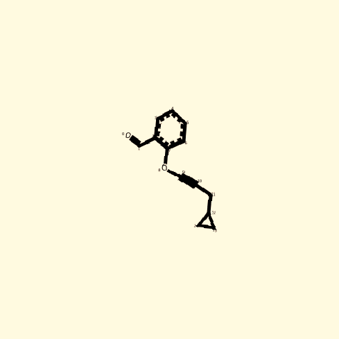 O=Cc1ccccc1OC#CCC1CC1